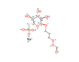 O=COOCCCO[C@H]1O[C@H](CS(=O)(=O)[O-])[C@@H](O)[C@H](O)[C@H]1O.[Na+]